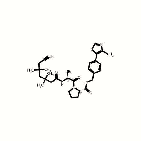 C#CCC(C)(C)CC(C)(C)CC(=O)N[C@H](C(=O)N1CCC[C@H]1C(=O)NCc1ccc(-c2scnc2C)cc1)C(C)(C)C